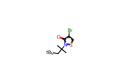 CC(C)(C)CC(C)(C)n1scc(Br)c1=O